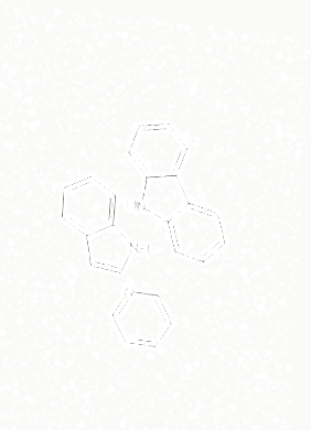 c1ccc2[nH]ccc2c1.c1ccc2c(c1)[nH]c1ccccc12.c1ccncc1